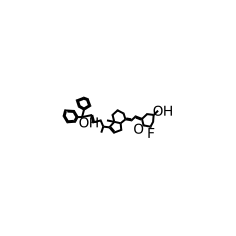 CC(C/C=C/C(O)(c1ccccc1)c1ccccc1)C1=CCC2/C(=C/C=C3/CC(O)CC(F)C3=O)CCCC12C